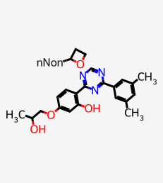 CCCCCCCCCC1CCO1.Cc1cc(C)cc(-c2ncnc(-c3ccc(OCC(C)O)cc3O)n2)c1